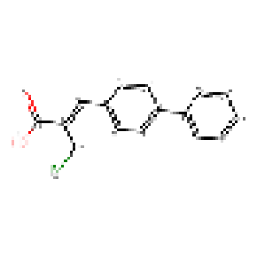 O=C(O)/C(=C/c1ccc(-c2ccccc2)cc1)CBr